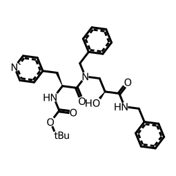 CC(C)(C)OC(=O)N[C@@H](Cc1ccncc1)C(=O)N(Cc1ccccc1)C[C@H](O)C(=O)NCc1ccccc1